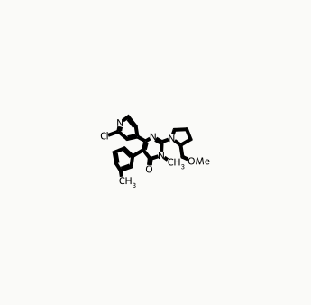 COCC1CCCN1c1nc(-c2ccnc(Cl)c2)c(-c2cccc(C)c2)c(=O)n1C